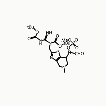 COS(=O)(=O)ON(C=O)C1CN(C)Cc2nc(CN(C(=N)NC(=O)OC(C)(C)C)C(=O)OC(C)(C)C)sc21